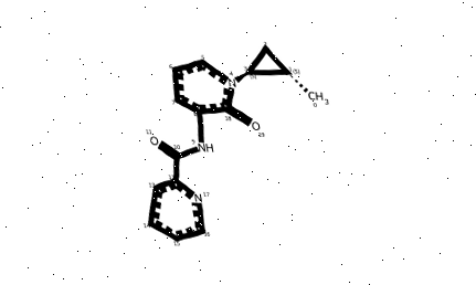 C[C@H]1C[C@@H]1n1cccc(NC(=O)c2ccccn2)c1=O